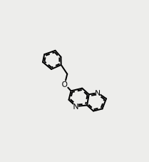 c1ccc(COc2cnc3cccnc3c2)cc1